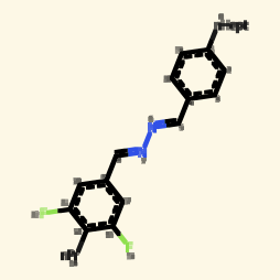 CCCCCCCc1ccc(/C=N/N=C/c2cc(F)c(CCC)c(F)c2)cc1